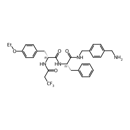 CCOc1ccc(C[C@@H](NC(=O)CC(F)(F)F)C(=O)N[C@@H](Cc2ccccc2)C(=O)NCc2ccc(CN)cc2)cc1